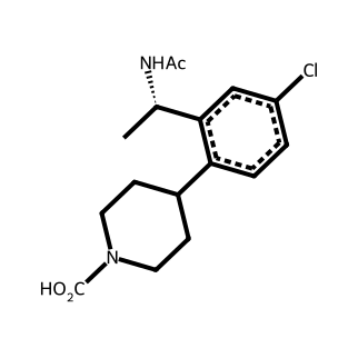 CC(=O)N[C@@H](C)c1cc(Cl)ccc1C1CCN(C(=O)O)CC1